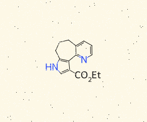 CCOC(=O)c1c[nH]c2c1-c1ncccc1CCC2